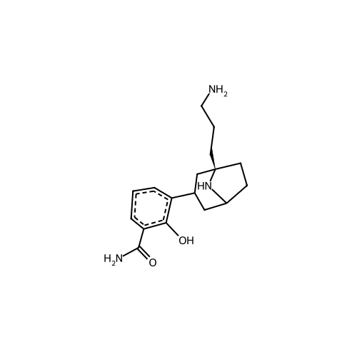 NCCC[C@]12CCC(CC(c3cccc(C(N)=O)c3O)C1)N2